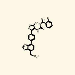 Cc1noc(-c2ccc(-c3ccc(CC(=O)O)c4scnc34)cc2)c1NC(=O)OC(C)c1ccccc1Cl